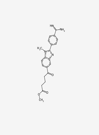 COC(=O)CCCC(=O)c1ccc2c(c1)nc(-c1ccc(C(=N)N)cc1)n2C